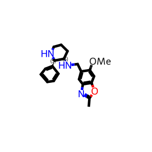 COc1cc2oc(C)nc2cc1CN[C@H]1CCCN[C@H]1c1ccccc1